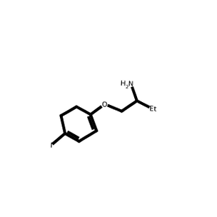 CCC(N)COC1=CC=C(I)CC1